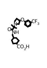 CC(C)(C(=O)NCC1CCC(C(=O)O)CC1)N1CC[C@@H](Oc2cccc(C(F)(F)F)c2)C1